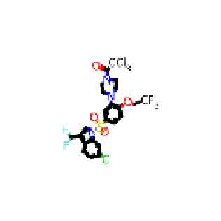 O=C(N1CCN(c2cc(S(=O)(=O)n3cc(C(F)F)c4ccc(Cl)cc43)ccc2OCC(F)(F)F)CC1)C(Cl)(Cl)Cl